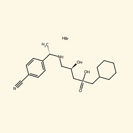 Br.C[C@H](NC[C@@H](O)CP(=O)(O)CC1CCCCC1)c1ccc(C#N)cc1